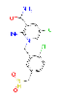 N=c1c(C(N)=O)cc(Cl)cn1Cc1cc(C[SH](=O)=O)ccc1Cl